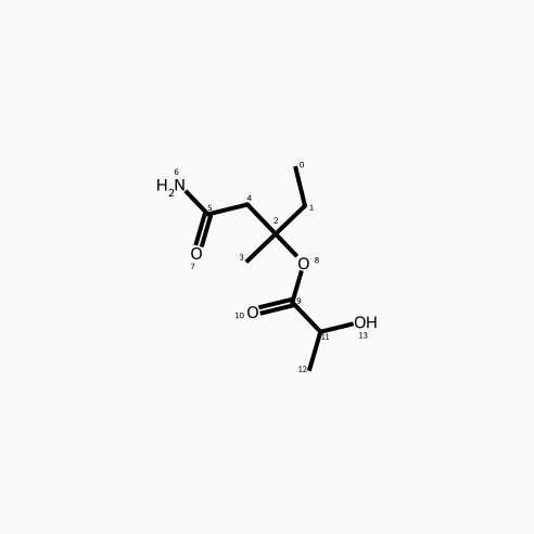 CCC(C)(CC(N)=O)OC(=O)C(C)O